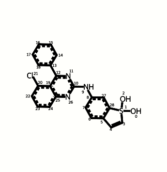 OS1(O)C=Cc2ccc(Nc3nc(-c4ccccc4)c4c(Cl)cccc4n3)cc21